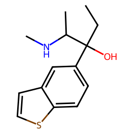 CCC(O)(c1ccc2sccc2c1)C(C)NC